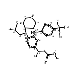 COC(=O)C[C@@H](C)c1ccc(N(CC(C)C)C2CCOCC2)c(Nc2ccc(C(F)(F)F)nc2)c1